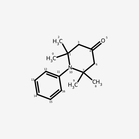 CC1(C)CC(=O)CC(C)(C)N1c1ccccc1